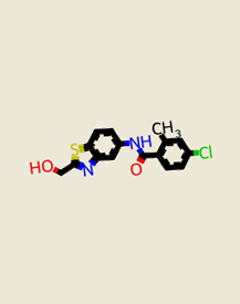 Cc1cc(Cl)ccc1C(=O)Nc1ccc2sc(CO)nc2c1